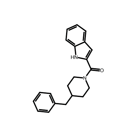 O=C(c1cc2ccccc2[nH]1)N1CCC(Cc2ccccc2)CC1